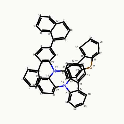 c1ccc(-c2ccc(-c3cccc4ccccc34)cc2N(c2ccc3sc4ccccc4c3c2)c2ccccc2-n2c3ccccc3c3ccccc32)cc1